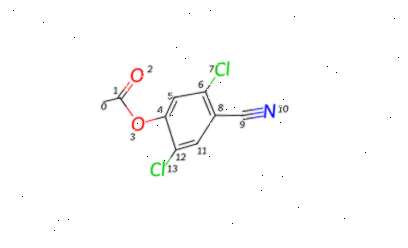 CC(=O)Oc1cc(Cl)c(C#N)cc1Cl